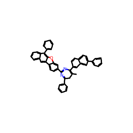 CC1=C(c2ccc3ccc(-c4ccccc4)cc3c2)N=C(c2ccc3c(c2)oc2c(-c4ccccc4)c4ccccc4cc23)N=C(c2ccccc2)C1